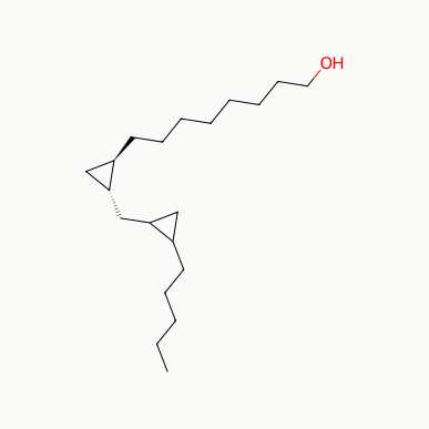 CCCCCC1CC1C[C@@H]1C[C@H]1CCCCCCCCO